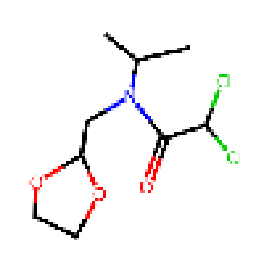 CC(C)N(CC1OCCO1)C(=O)C(Cl)Cl